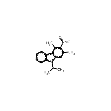 Cc1cc2c(c(C)c1[N+](=O)[O-])c1ccccc1n2C(C)C